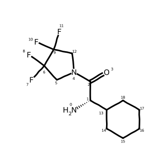 N[C@H](C(=O)N1CC(F)(F)C(F)(F)C1)C1CCCCC1